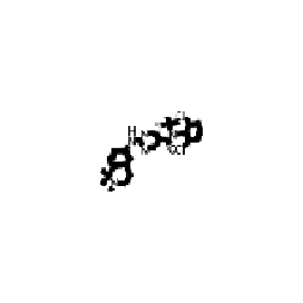 CN1CCc2cc(Nc3ncc4c(n3)SC(C)(C)N(c3c(Cl)cccc3Cl)C4=O)ccc2C1(C)C